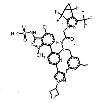 Cn1nc(NS(C)(=O)=O)c2c(Cl)ccc(-c3ccc(-c4cnn(C5COC5)c4)nc3[C@H](Cc3cc(F)cc(F)c3)NC(=O)Cn3nc(C(F)(F)F)c4c3C(F)(F)C3C[C@H]43)c21